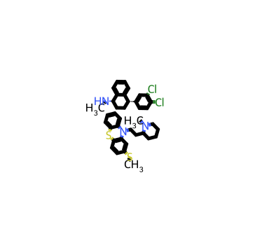 CN[C@H]1CC[C@@H](c2ccc(Cl)c(Cl)c2)c2ccccc21.CSc1ccc2c(c1)N(CCC1CCCCN1C)c1ccccc1S2